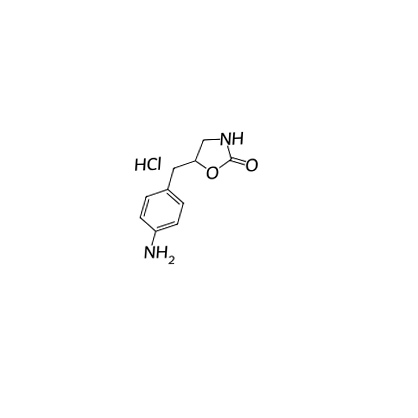 Cl.Nc1ccc(CC2CNC(=O)O2)cc1